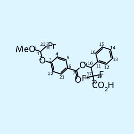 COC(Oc1ccc(C(=O)OC(c2ccccc2)C(F)(F)C(=O)O)cc1)C(C)C